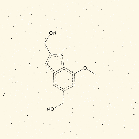 COc1cc(CO)cc2cc(CO)sc12